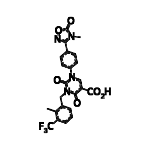 Cc1c(Cn2c(=O)c(C(=O)O)cn(-c3ccc(-c4noc(=O)n4C)cc3)c2=O)cccc1C(F)(F)F